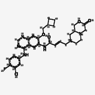 O=C(C=CCN1CCN2CC(=O)OCC2C1)Nc1cc2c(Nc3ccc(F)c(Cl)c3)ncnc2cc1OCC1CCC1